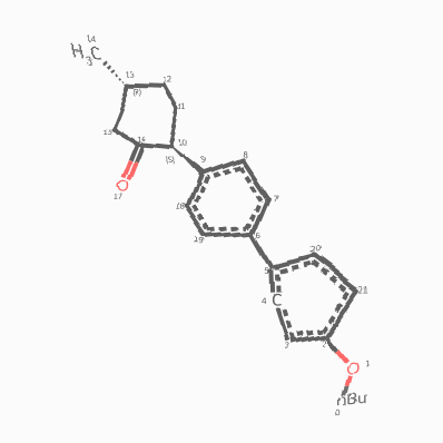 CCCCOc1ccc(-c2ccc([C@@H]3CC[C@@H](C)CC3=O)cc2)cc1